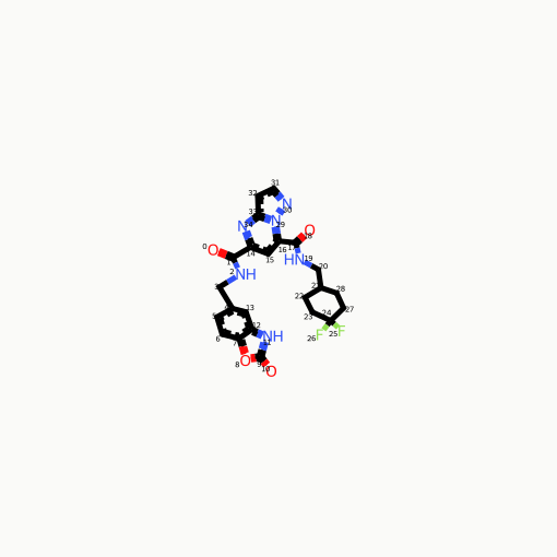 O=C(NCc1ccc2oc(=O)[nH]c2c1)c1cc(C(=O)NCC2CCC(F)(F)CC2)n2nccc2n1